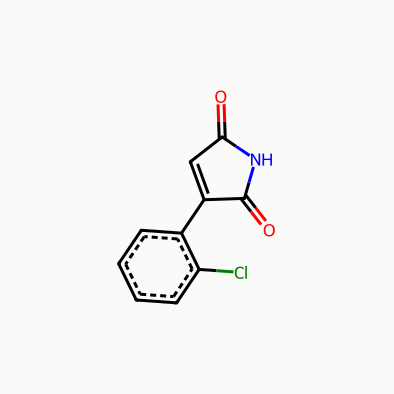 O=C1C=C(c2ccccc2Cl)C(=O)N1